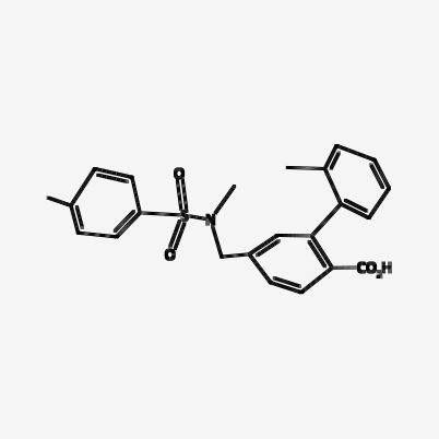 Cc1ccc(S(=O)(=O)N(C)Cc2ccc(C(=O)O)c(-c3ccccc3C)c2)cc1